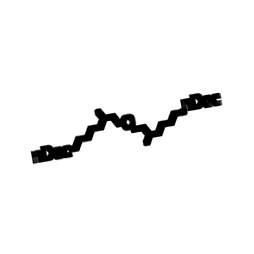 CCCCCCCCCCCCCCCC(C)CCOCCC(C)CCCCCCCCCCCCCCC